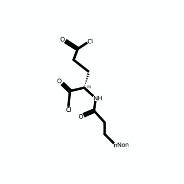 CCCCCCCCCCCC(=O)N[C@@H](CCC(=O)Cl)C(=O)Cl